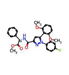 COC(=O)[C@@H](NC(=O)c1cc(-c2c(OC)cccc2OC)n(-c2ccc(F)cc2)n1)c1ccccc1